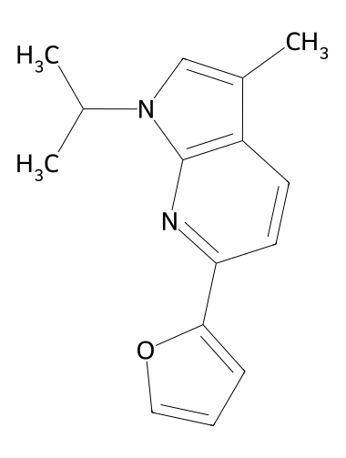 Cc1cn(C(C)C)c2nc(-c3ccco3)ccc12